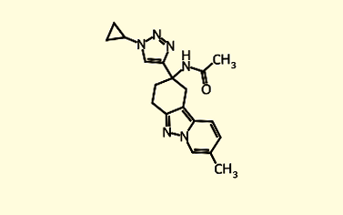 CC(=O)NC1(c2cn(C3CC3)nn2)CCc2nn3cc(C)ccc3c2C1